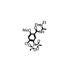 CCN(CC)C(C)NC(=O)c1cc(N(S(C)(=O)=O)S(C)(=O)=O)c(Cl)cc1OC